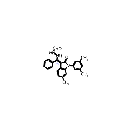 Cc1cc(C)cc(N2C(=O)/C(=C(\NNC=O)c3ccccc3)c3ccc(C(F)(F)F)cc32)c1